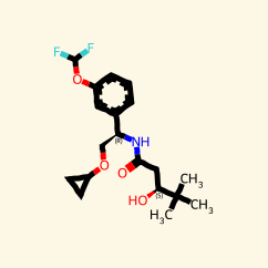 CC(C)(C)[C@@H](O)CC(=O)N[C@@H](COC1CC1)c1cccc(OC(F)F)c1